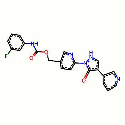 O=C(Nc1cccc(F)c1)OCc1ccc(-n2[nH]cc(-c3cccnc3)c2=O)nc1